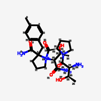 Cc1ccc(CC2(C(N)=O)CCC[N+]2(C(=O)[C@@H]2CCCN2C(=O)[C@@H](N)[C@@H](C)O)[C@H](C(N)=O)[C@@H](C)O)cc1